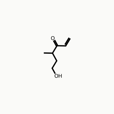 C=CC(=O)C(C)CCO